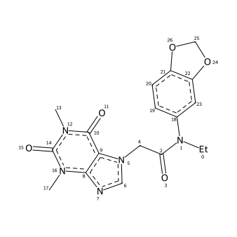 CCN(C(=O)Cn1cnc2c1c(=O)n(C)c(=O)n2C)c1ccc2c(c1)OCO2